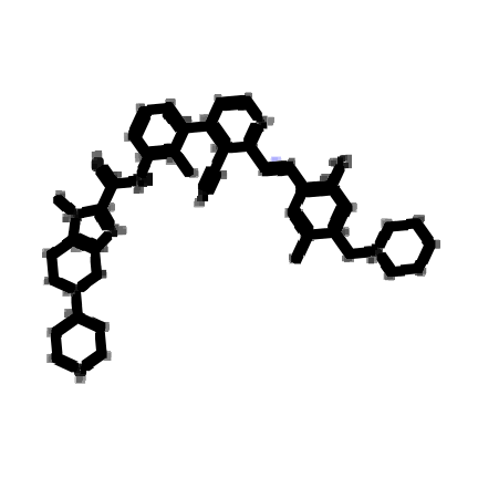 Cc1cc(/C=C/c2nccc(-c3cccc(NC(=O)c4nc5c(n4C)CCN(C4CCOCC4)C5)c3C)c2C#N)c(Cl)cc1CN1CCCCC1